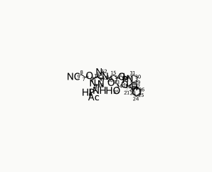 CC(=O)PNc1nc(OCCC#N)c2ncn([C@H]3C[C@@H](O[P@@]4O[C@](C)(c5ccccc5)[C@@H]5CCCN54)[C@@H](CO)O3)c2n1